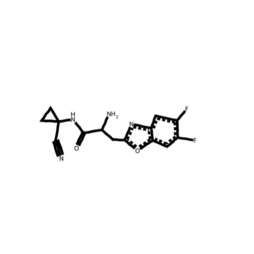 N#CC1(NC(=O)C(N)Cc2nc3cc(F)c(F)cc3o2)CC1